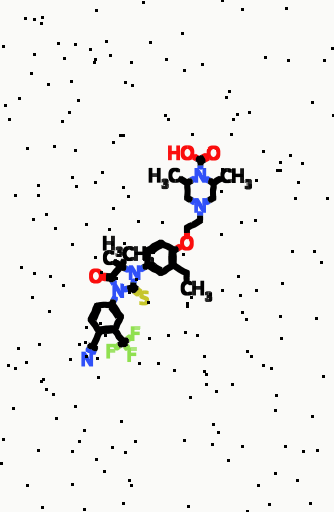 CCc1cc(N2C(=S)N(c3ccc(C#N)c(C(F)(F)F)c3)C(=O)C2(C)C)ccc1OCCN1CC(C)N(C(=O)O)C(C)C1